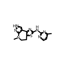 Cc1ccnc(Nc2nc3c(s2)CCN(C)c2n[nH]cc2-3)n1